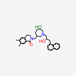 Cc1cc2c(cc1C)C(=O)N(CC1CCCCN(CC(O)Cc3cccc4ccccc34)C1)CC2.Cl